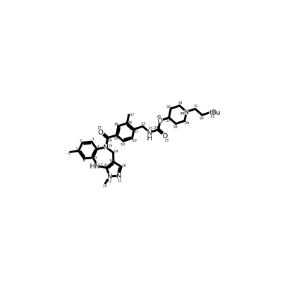 Cc1ccc2c(c1)Nc1c(cnn1C)CN2C(=O)c1ccc(CNC(=O)OC2CCN(CCC(C)(C)C)CC2)c(C)c1